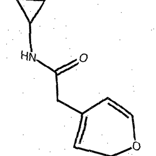 O=C(CC1=CCOC=C1)NC1CC1